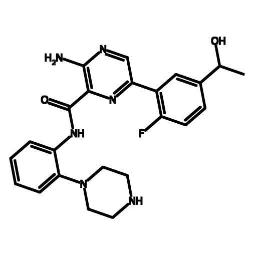 CC(O)c1ccc(F)c(-c2cnc(N)c(C(=O)Nc3ccccc3N3CCNCC3)n2)c1